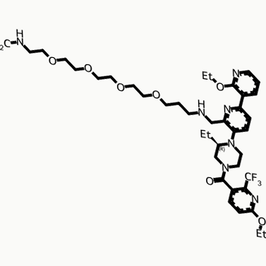 CCOc1ccc(C(=O)N2CCN(c3ccc(-c4cccnc4OCC)nc3CNCCCOCCOCCOCCOCCNC(=O)O)[C@H](CC)C2)c(C(F)(F)F)n1